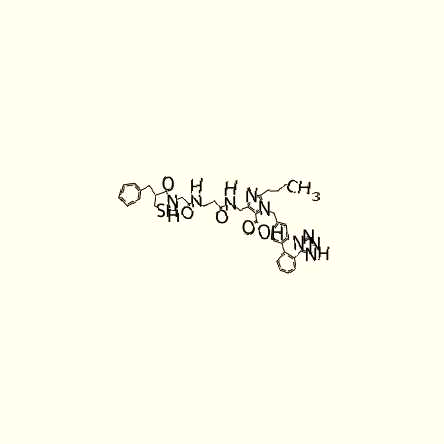 CCCCc1nc(CNC(=O)CCNC(=O)CNC(=O)C(CS)Cc2ccccc2)c(C(=O)O)n1Cc1ccc(-c2ccccc2-c2nnn[nH]2)cc1